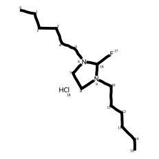 CCCCCCN1CCN(CCCCCC)C1F.Cl